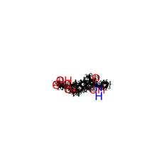 CC(C)C1=C2[C@H]3CC[C@@H]4[C@@]5(C)CC[C@H](OC(=O)CC(C)(C)C(=O)O)C(C)(C)[C@@H]5CC[C@@]4(C)[C@]3(C)CC[C@@]2([C@H](O)CNC2CCCCC2)CC1=O